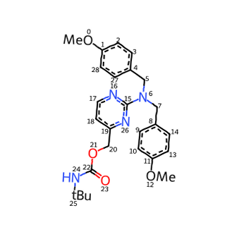 COc1ccc(CN(Cc2ccc(OC)cc2)c2nccc(COC(=O)NC(C)(C)C)n2)cc1